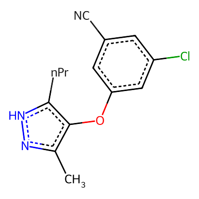 CCCc1[nH]nc(C)c1Oc1cc(Cl)cc(C#N)c1